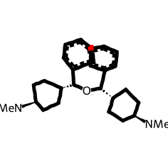 CN[C@H]1CC[C@H](C(OC(c2ccccc2)[C@H]2CC[C@H](NC)CC2)c2ccccc2)CC1